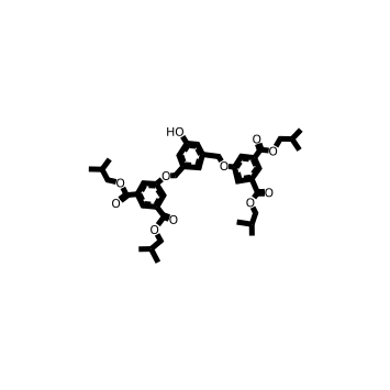 CC(C)COC(=O)c1cc(OCc2cc(O)cc(COc3cc(C(=O)OCC(C)C)cc(C(=O)OCC(C)C)c3)c2)cc(C(=O)OCC(C)C)c1